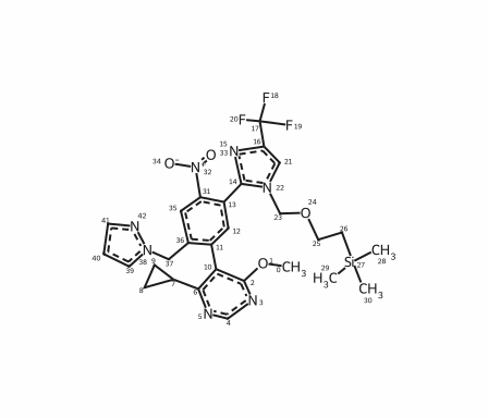 COc1ncnc(C2CC2)c1-c1cc(-c2nc(C(F)(F)F)cn2COCC[Si](C)(C)C)c([N+](=O)[O-])cc1Cn1cccn1